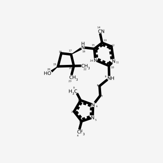 Cc1cc(C(F)(F)F)nn1CCNc1ncc(C#N)c(N[C@@H]2C[C@H](O)C2(C)C)n1